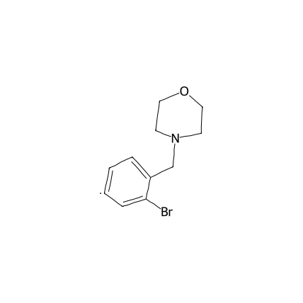 Brc1c[c]ccc1CN1CCOCC1